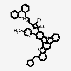 CCC1C(CCCC2CC=CC=C2c2ccccc2C)=CC1(CC)c1cc2c(cc1-c1ccc(C)cn1)c1c3oc4c(CC5CCCC5)cccc4c3cc3c4ccccc4n2c31